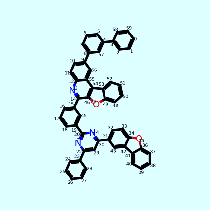 c1ccc(-c2cccc(-c3ccc4nc(-c5cccc(-c6nc(-c7ccccc7)cc(-c7ccc8oc9ccccc9c8c7)n6)c5)c5oc6ccccc6c5c4c3)c2)cc1